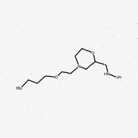 CCCNCC1CN(CCOCCCC(C)(C)C)CCO1